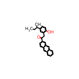 CCC(C)c1ccc(O)c(CC(=O)c2ccc3cc4ccccc4cc3c2)c1